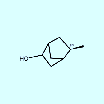 C[C@@H]1CC2CC1CC2O